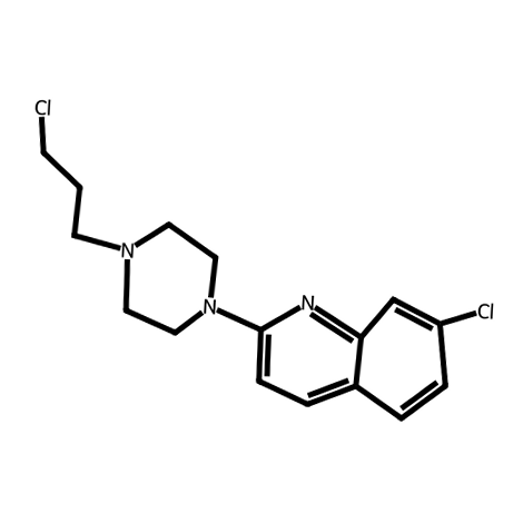 ClCCCN1CCN(c2ccc3ccc(Cl)cc3n2)CC1